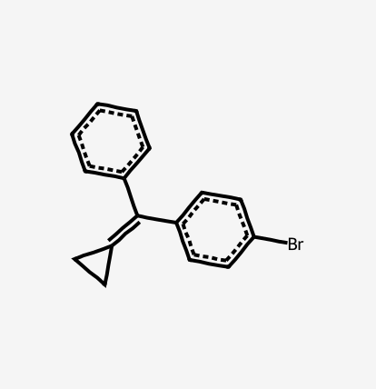 Brc1ccc(C(=C2CC2)c2ccccc2)cc1